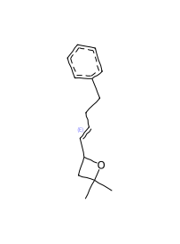 CC1(C)CC(/C=C/CCc2ccccc2)O1